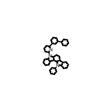 c1ccc(-c2cccc(-c3cccc(-n4c5ccccc5c5c4ccc4c6ccccc6n(-c6ccccc6)c45)n3)c2)cc1